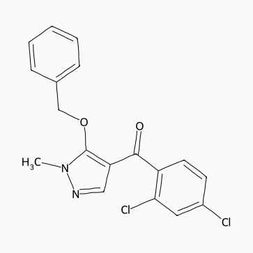 Cn1ncc(C(=O)c2ccc(Cl)cc2Cl)c1OCc1ccccc1